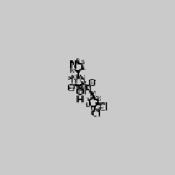 Cn1c(-c2cccnc2)nc(C(=O)NCc2ccc(Cl)c(Cl)c2)c(O)c1=O